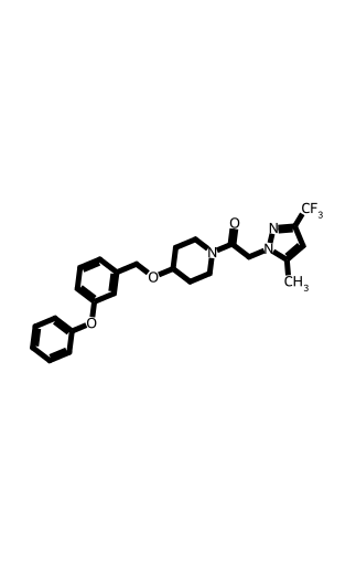 Cc1cc(C(F)(F)F)nn1CC(=O)N1CCC(OCc2cccc(Oc3ccccc3)c2)CC1